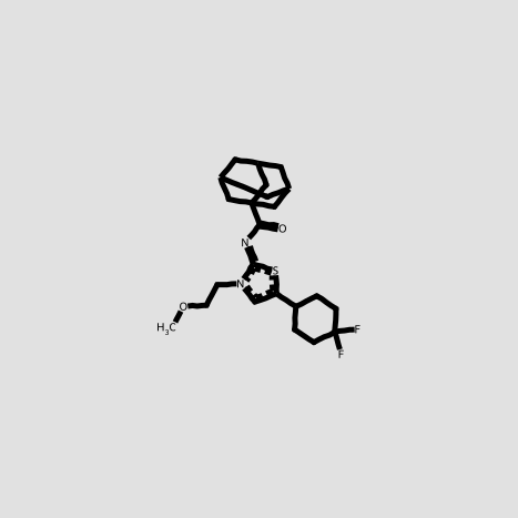 COCCn1cc(C2CCC(F)(F)CC2)sc1=NC(=O)C12CC3CC(CC(C3)C1)C2